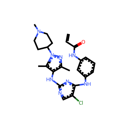 C=CC(=O)Nc1cccc(Nc2nc(Nc3c(C)nn(C4CCN(C)CC4)c3C)ncc2Cl)c1